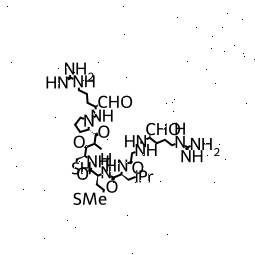 CSCC[C@H](NC(=O)[C@H](CC(C)C)NC(=O)CNN[C@H](C=O)CCCNC(=N)N)C(=O)N[C@@H](CS)C(=O)C(C)C(=O)[C@@H]1CCCN1N[C@H](C=O)CCCNC(=N)N